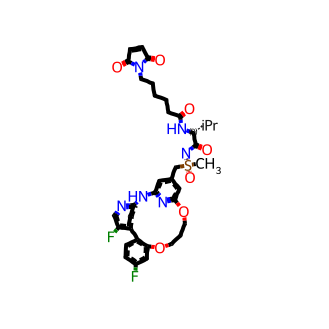 CC(C)[C@@H](NC(=O)CCCCCN1C(=O)C=CC1=O)C(=O)N=S(C)(=O)Cc1cc2nc(c1)OCCCOc1cc(F)ccc1-c1cc(ncc1F)N2